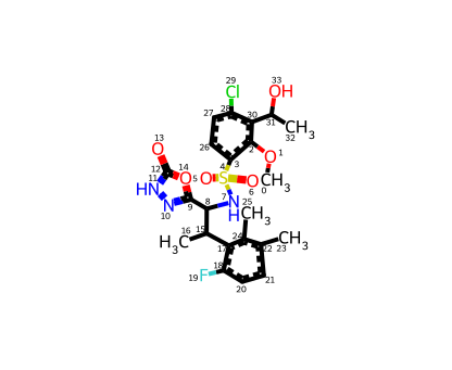 COc1c(S(=O)(=O)NC(c2n[nH]c(=O)o2)C(C)c2c(F)ccc(C)c2C)ccc(Cl)c1C(C)O